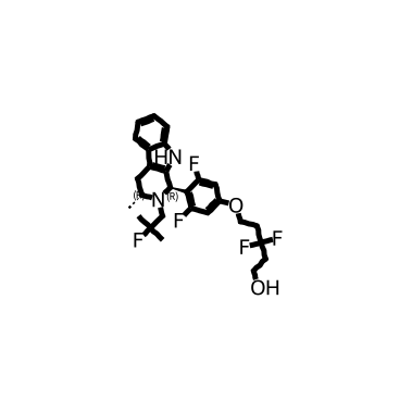 C[C@@H]1Cc2c([nH]c3ccccc23)[C@@H](c2c(F)cc(OCCC(F)(F)CCO)cc2F)N1CC(C)(C)F